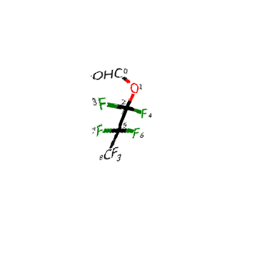 O=[C]OC(F)(F)C(F)(F)C(F)(F)F